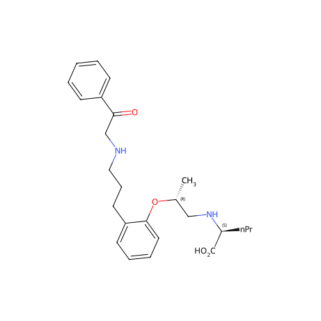 CCC[C@H](NC[C@@H](C)Oc1ccccc1CCCNCC(=O)c1ccccc1)C(=O)O